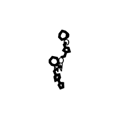 C1#CC(OCC2CCC(CCOC3CCCCCc4c3nnn4Cc3ccc(C4CCCC4)cc3)C2)CCCCC1